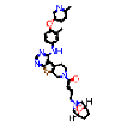 Cc1ccc(Oc2ccc(Nc3ncnc4sc5c(c34)CCN(C(=O)/C=C/CN3C[C@H]4CC[C@@H](C3)O4)C5)cc2C)cn1